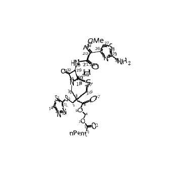 CCCCCC(=O)OCOC(=O)C1(CSc2nncs2)CS[C@@H]2C(NC(=O)C(=NOC)c3csc(N)n3)C(=O)N2C1